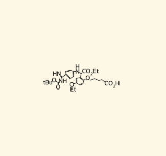 CCOC(=O)C(Nc1ccc(C(=N)NC(=O)OC(C)(C)C)cc1)c1cc(OCC)ccc1OCCCCC(=O)O